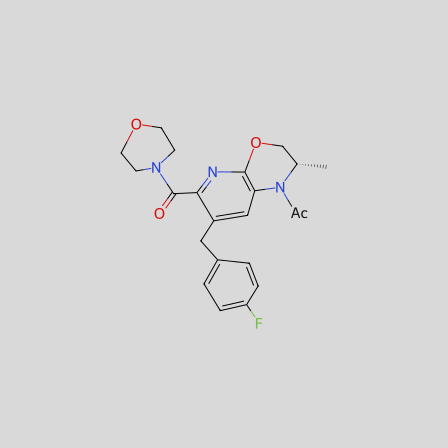 CC(=O)N1c2cc(Cc3ccc(F)cc3)c(C(=O)N3CCOCC3)nc2OC[C@@H]1C